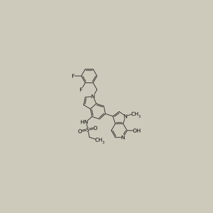 CCS(=O)(=O)Nc1cc(-c2cn(C)c3c(O)nccc23)cc2c1ccn2Cc1cccc(F)c1F